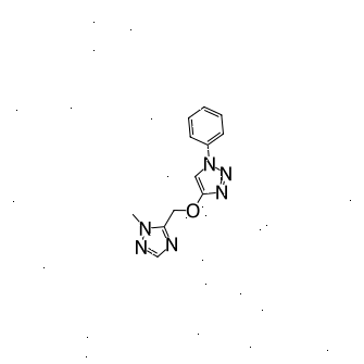 Cn1ncnc1COc1cn(-c2ccccc2)nn1